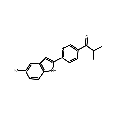 CC(C)C(=O)c1ccc(-c2cc3cc(O)ccc3[nH]2)nc1